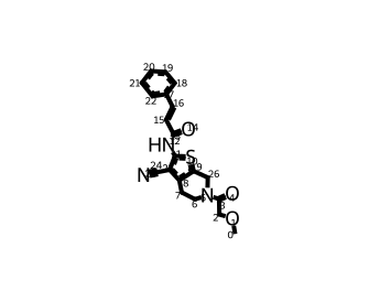 COCC(=O)N1CCc2c(sc(NC(=O)/C=C/c3ccccc3)c2C#N)C1